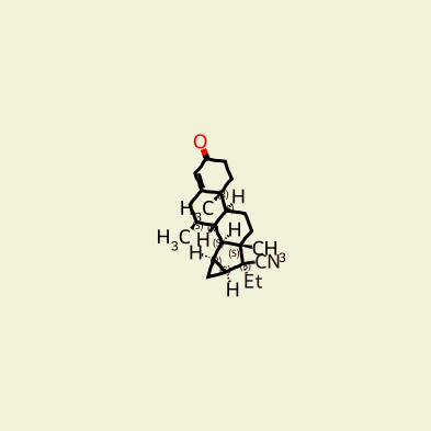 CC[C@]1(C#N)[C@H]2C[C@H]2[C@H]2[C@@H]3[C@@H](C)CC4=CC(=O)CC[C@]4(C)[C@H]3CC[C@@]21C